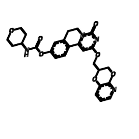 O=C(NC1CCOCC1)Oc1ccc2c(c1)CCn1c-2cc(OCC2COc3ncccc3O2)nc1=O